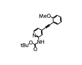 COc1ccccc1C#Cc1ccnc(NC(=O)OC(C)(C)C)c1